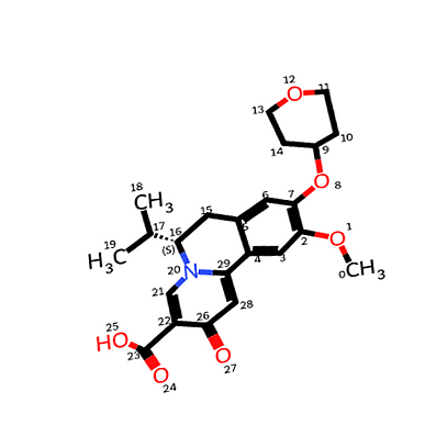 COc1cc2c(cc1OC1CCOCC1)C[C@@H](C(C)C)n1cc(C(=O)O)c(=O)cc1-2